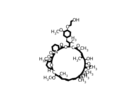 [2H]C1(C)[C@@H](C)C(=O)[C@H](OC)[C@H](O)/C(C)=C/[C@@H](C)C(=O)C[C@@H]([C@H](C)C[C@@H]2CC[C@@H](OCCO)[C@H](OC)C2)OC(=O)[C@@H]2CCCCN2C(=O)C(=O)[C@]2(O)O[C@@H](CC[C@H]2C)C[C@H](OC)/C(C)=C/C=C/C=C/[C@@]1([2H])C